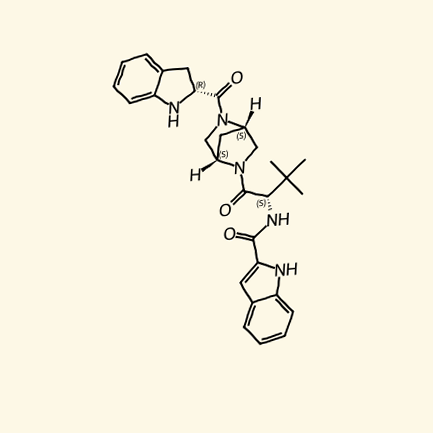 CC(C)(C)[C@H](NC(=O)c1cc2ccccc2[nH]1)C(=O)N1C[C@@H]2C[C@H]1CN2C(=O)[C@H]1Cc2ccccc2N1